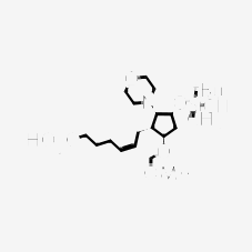 COCO[C@@H]1C[C@H](O[Si](C)(C)C(C)(C)C)[C@@H](N2CCOCC2)[C@@H]1C/C=C\CCCC(=O)O